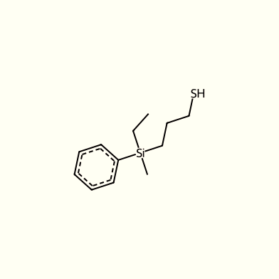 CC[Si](C)(CCCS)c1ccccc1